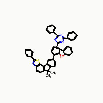 CC1(C)c2ccc(-c3ccc(-c4nc(-c5ccccc5)nc(-c5ccccc5)n4)c4c3oc3ccccc34)cc2-c2c1ccc1nc(-c3ccccc3)sc21